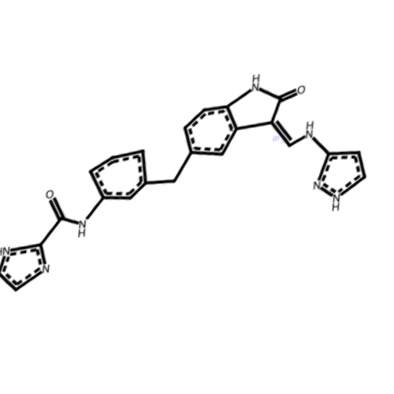 O=C1Nc2ccc(Cc3cccc(NC(=O)c4ncc[nH]4)c3)cc2/C1=C/Nc1cc[nH]n1